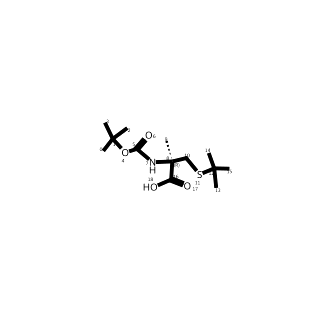 CC(C)(C)OC(=O)N[C@@](C)(CSC(C)(C)C)C(=O)O